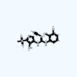 CS(=O)(=O)c1scc(NC(=NC#N)Nc2cccc(Cl)c2Cl)c1O